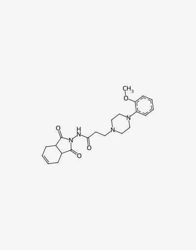 COc1ccccc1N1CCN(CCC(=O)NN2C(=O)C3CC=CCC3C2=O)CC1